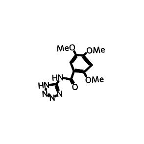 COc1cc(OC)c(C(=O)Nc2nnn[nH]2)cc1OC